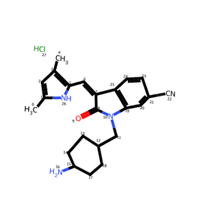 Cc1cc(C)c(/C=C2\C(=O)N(CC3CCC(N)CC3)c3cc(C#N)ccc32)[nH]1.Cl